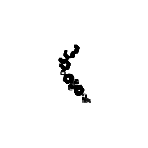 C\C=C/C=C/C(=C\C)C(/C=C\C(=C/C)Oc1ccc(S(=O)(=O)c2ccc(OC(C)(C)C)cc2)cc1)=C\C